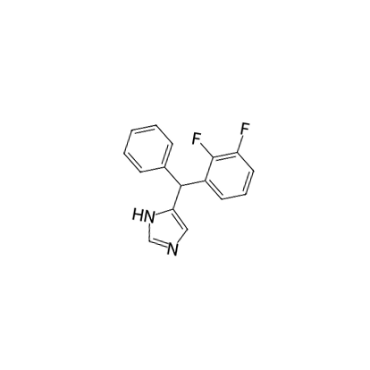 Fc1cccc(C(c2ccccc2)c2cnc[nH]2)c1F